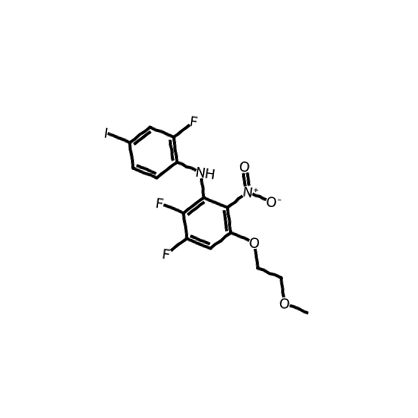 COCCOc1cc(F)c(F)c(Nc2ccc(I)cc2F)c1[N+](=O)[O-]